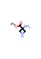 CC(C)OC(=O)C1(N)CNC1